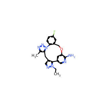 CCn1ncc2c1-c1cnc(N)c(c1)OCc1cc(F)ccc1-n1nnc(C)c1C2